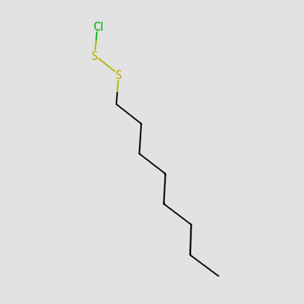 CCCCCCCCSSCl